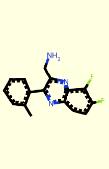 Cc1ccccc1-c1nc2ccc(F)c(F)c2nc1CN